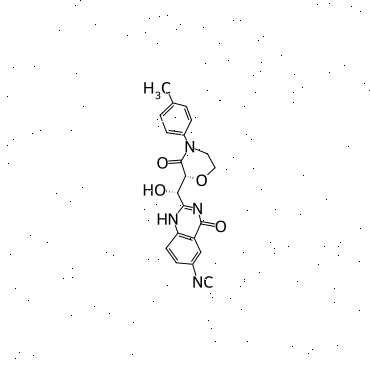 [C-]#[N+]c1ccc2[nH]c([C@H](O)[C@H]3OCCN(c4ccc(C)cc4)C3=O)nc(=O)c2c1